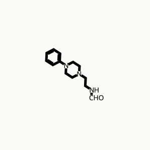 O=CNCCN1CCN(c2ccccc2)CC1